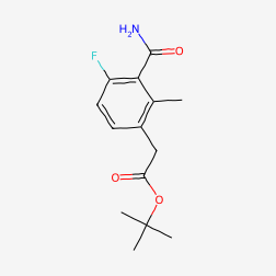 Cc1c(CC(=O)OC(C)(C)C)ccc(F)c1C(N)=O